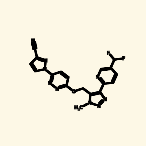 Cn1nnc(-c2ccc(C(F)F)cn2)c1COc1ccc(-n2ccc(C#N)n2)nn1